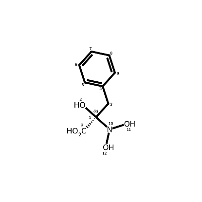 O=C(O)[C@](O)(Cc1ccccc1)N(O)O